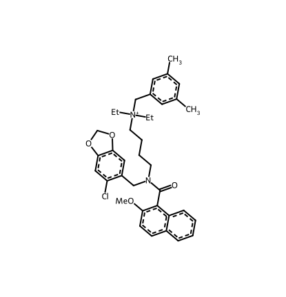 CC[N+](CC)(CCCCN(Cc1cc2c(cc1Cl)OCO2)C(=O)c1c(OC)ccc2ccccc12)Cc1cc(C)cc(C)c1